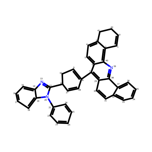 C1=Cc2c(ccc3c(C4=CCC(c5nc6ccccc6n5-c5ccccc5)C=C4)c4ccc5ccccc5c4nc23)CC1